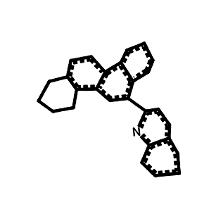 c1ccc2nc(-c3cc4c5c(ccc4c4ccccc34)CCCC5)ccc2c1